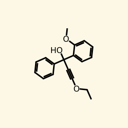 CCOC#CC(O)(c1ccccc1)c1ccccc1OC